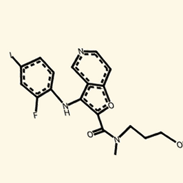 CN(CCCO)C(=O)c1oc2ccncc2c1Nc1ccc(I)cc1F